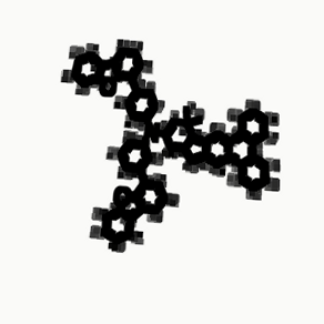 CC1(C)C=C(N(c2ccc(-c3cccc4c3oc3ccccc34)cc2)c2cccc(-c3cccc4c3oc3ccccc34)c2)C=C2C=c3cc4c5ccccc5c5ccccc5c4cc3=C21